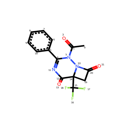 CC(=O)N1C(c2ccccc2)=NC(=O)C2(C(F)(F)F)CC(=O)N12